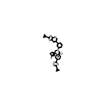 O=CC1(CN(CC23CCC(c4nc(C5CC5)no4)(CC2)CC3)c2cccc(-c3cnc4nc(C5CC5)sc4c3)c2)CC2(F)CC1C2